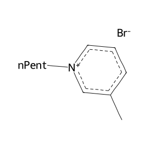 CCCCC[n+]1cccc(C)c1.[Br-]